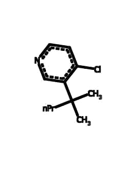 CCCC(C)(C)c1cnccc1Cl